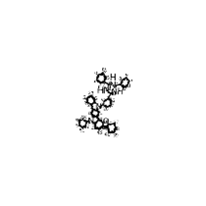 c1ccc(C2NC(c3ccccc3)NC(c3cccc(-n4c5ccccc5c5cc6c(cc54)c4c5oc7ccccc7c5ccc4n6-c4ccccc4)c3)N2)cc1